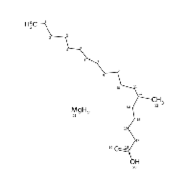 CCCCCCCCCCCCC(C)CCCCC(=O)O.[MgH2]